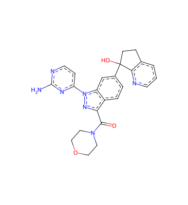 Nc1nccc(-n2nc(C(=O)N3CCOCC3)c3ccc(C4(O)CCc5cccnc54)cc32)n1